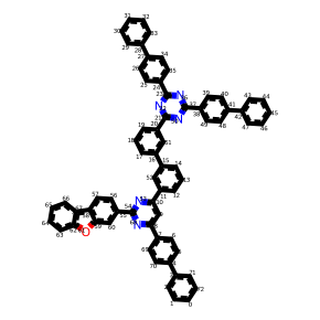 c1ccc(-c2ccc(-c3cc(-c4cccc(-c5cccc(-c6nc(-c7ccc(-c8ccccc8)cc7)nc(-c7ccc(-c8ccccc8)cc7)n6)c5)c4)nc(-c4ccc5c(c4)oc4ccccc45)n3)cc2)cc1